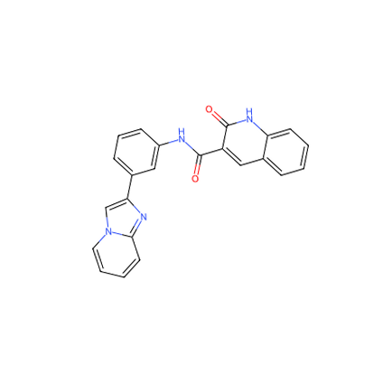 O=C(Nc1cccc(-c2cn3ccccc3n2)c1)c1cc2ccccc2[nH]c1=O